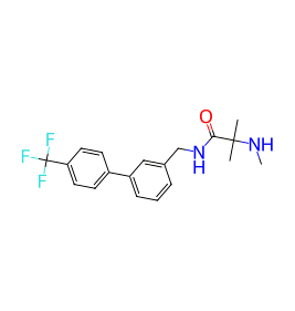 CNC(C)(C)C(=O)NCc1cccc(-c2ccc(C(F)(F)F)cc2)c1